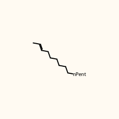 [CH2]CCCCCCCCCCC=CC